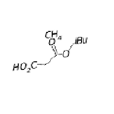 C.CCC(C)OC(=O)CC(=O)O